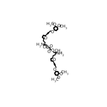 COc1ccc(OCC#Cc2ccc(CC[C@@](C)(N)COC(=O)C(=O)OC[C@](C)(N)CCc3ccc(C#CCOc4ccc(OC)c(OC)c4)o3)o2)cc1OC